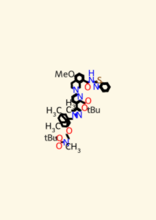 COc1ccc(C(=O)Nc2nc3ccccc3s2)c2c1CCN(c1ccc(-c3cnn(CC45CC6(C)CC(C)(C4)CC(OCCN(C)C(=O)OC(C)(C)C)(C6)C5)c3C)c(C(=O)OC(C)(C)C)n1)C2